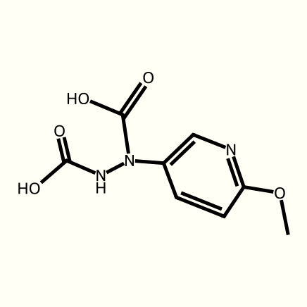 COc1ccc(N(NC(=O)O)C(=O)O)cn1